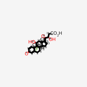 C[C@]12C=CC(=O)C=C1CC[C@H]1[C@@H]3CC=C(C(=O)C(O)CC(=O)O)[C@@]3(C)CC(O)[C@@]12F